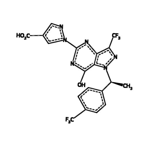 C[C@@H](c1ccc(C(F)(F)F)cc1)n1nc(C(F)(F)F)c2nc(-n3cc(C(=O)O)cn3)nc(O)c21